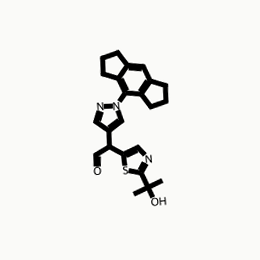 CC(C)(O)c1ncc(C(C=O)c2cnn(-c3c4c(cc5c3CCC5)CCC4)c2)s1